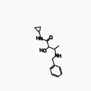 CC(NCc1ccccc1)C(O)C(=O)NC1CC1